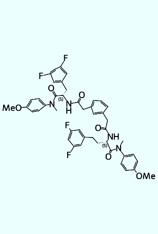 COc1ccc(N(C)C(=O)[C@H](CCc2cc(F)cc(F)c2)NC(=O)Cc2cccc(CC(=O)N[C@@H](Cc3cc(F)cc(F)c3)C(=O)N(C)c3ccc(OC)cc3)c2)cc1